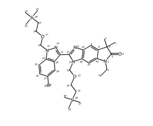 CCN1C(=O)C(C)(C)c2cc3nc(-c4nn(COCC[Si](C)(C)C)c5ccc(Br)cc45)n(COCC[Si](C)(C)C)c3cc21